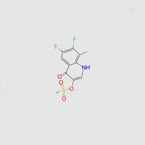 Cc1c(F)c(F)cc2c(=O)c(OS(C)(=O)=O)c[nH]c12